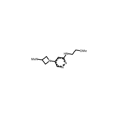 CNC1CN(c2cnnc(NCCOC)c2)C1